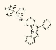 CC(C)(O)C(C)(C)OBc1ccc2c(c1)n1c3ccccc3nc1n2-c1ccccc1